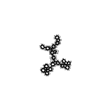 C1=CCC2C(=C1)C1CCCCC1C21C2CCCCC2C2CCC(C3CCC4C(C3)C3CC(C5CCC6C7CCCCC7C7(C8C=CC=CC8C8CCCCC87)C6C5)CCC3C4C3CCC(C4CCC(N(C5CCC(C6CCCCC6)CC5)C5CCC(C6CCC7CC8CCCCC8C7C6)CC5)C5CCCC45)CC3)CC21